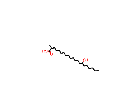 CCCCCCC(O)CCCCCCCCCCCC=C(C)C(=O)O